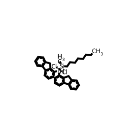 CCCCCCCC[SiH](C)[Ti]([Cl])([Cl])([c]1cccc2c1Cc1ccccc1-2)[c]1cccc2c1Cc1ccccc1-2